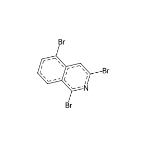 Brc1cc2c(Br)cccc2c(Br)n1